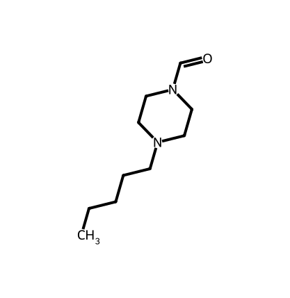 CCCCCN1CCN(C=O)CC1